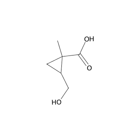 CC1(C(=O)O)CC1CO